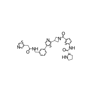 O=C(Cc1cncs1)NCc1cccc(-c2cnc(C3CN(C(=O)c4ccc(NC(=O)[C@@H]5CCCN5)s4)C3)s2)c1